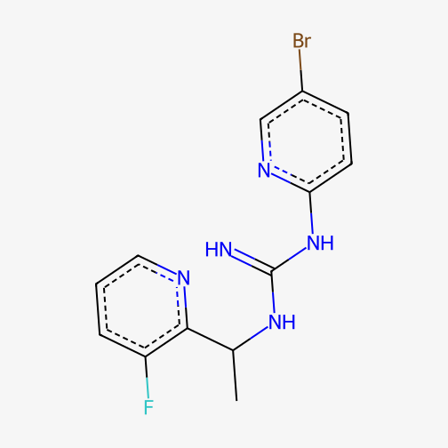 CC(NC(=N)Nc1ccc(Br)cn1)c1ncccc1F